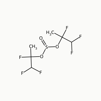 CC(F)(OS(=O)OC(C)(F)C(F)F)C(F)F